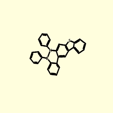 c1ccc(B2c3ccccc3-c3cc4c(cc3N2c2ccccc2)sc2ccccc24)cc1